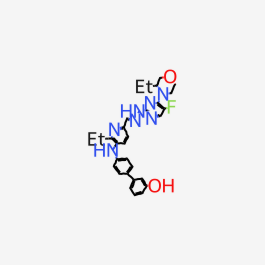 CCc1nc(/C=N/Nc2ncc(F)c(N3CCOCC3CC)n2)ccc1Nc1ccc(-c2cccc(O)c2)cc1